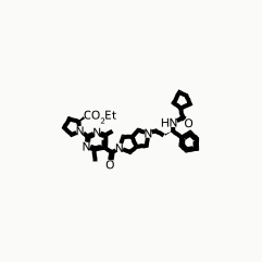 CCOC(=O)[C@@H]1CCCN1c1nc(C)c(C(=O)N2CC3CN(CC[C@H](NC(=O)C4CCCC4)c4ccccc4)CC3C2)c(C)n1